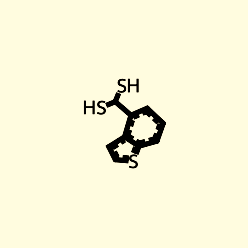 SC(S)c1cccc2sccc12